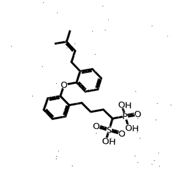 CC(C)=CCc1ccccc1Oc1ccccc1CCCC(P(=O)(O)O)S(=O)(=O)O